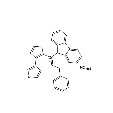 C1=CC(c2ccoc2)=[C](/[Zr](=[CH]/Cc2ccccc2)[CH]2c3ccccc3-c3ccccc32)C1.Cl.Cl